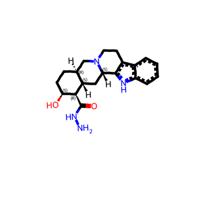 NNC(=O)[C@@H]1[C@H]2C[C@H]3c4[nH]c5ccccc5c4CCN3C[C@@H]2CC[C@@H]1O